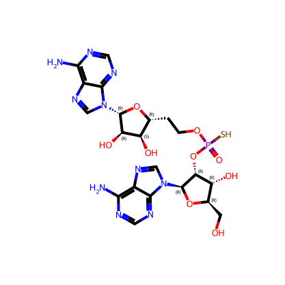 Nc1ncnc2c1ncn2[C@@H]1O[C@H](CCOP(=O)(S)O[C@@H]2[C@H](O)[C@@H](CO)O[C@H]2n2cnc3c(N)ncnc32)[C@@H](O)[C@H]1O